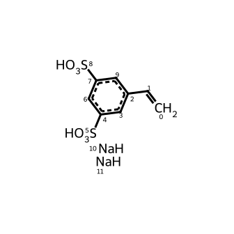 C=Cc1cc(S(=O)(=O)O)cc(S(=O)(=O)O)c1.[NaH].[NaH]